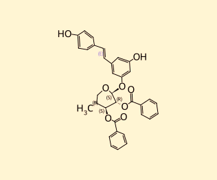 C[C@@H]1CO[C@@H](Oc2cc(O)cc(/C=C/c3ccc(O)cc3)c2)[C@H](OC(=O)c2ccccc2)[C@H]1OC(=O)c1ccccc1